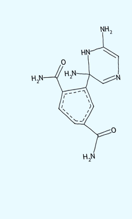 NC(=O)c1ccc(C(N)=O)c(C2(N)C=NC=C(N)N2)c1